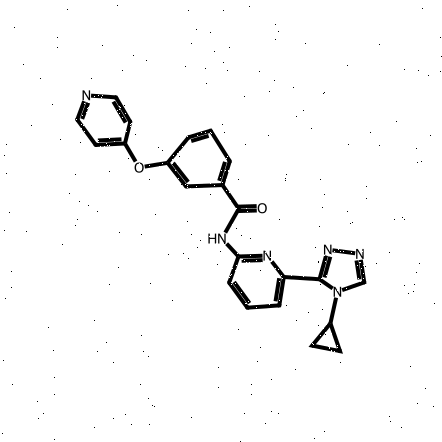 O=C(Nc1cccc(-c2nncn2C2CC2)n1)c1cccc(Oc2ccncc2)c1